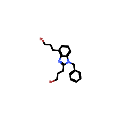 BrCCCc1cccc2c1nc(CCCBr)n2Cc1ccccc1